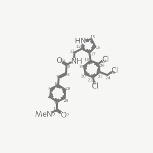 CNC(=O)c1ccc(C=CC(=O)NCc2[nH]ccc2-c2ccc(Cl)c(CCl)c2Cl)cc1